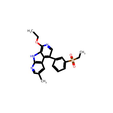 CCOc1ncc(-c2cccc(S(=O)(=O)CC)c2)c2c1[nH]c1ncc(C)cc12